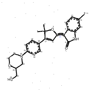 CC1(C)O/C(=C2/C(=O)Nc3cc(F)ccc32)C=C1c1ccc(N2CCOC(CO)C2)nc1